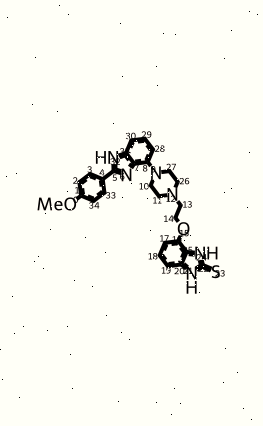 COc1ccc(-c2nc3c(N4CCN(CCOc5cccc6[nH]c(=S)[nH]c56)CC4)cccc3[nH]2)cc1